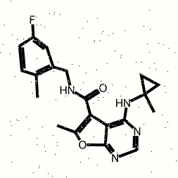 Cc1ccc(F)cc1CNC(=O)c1c(C)oc2ncnc(NC3(C)CC3)c12